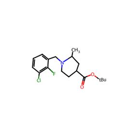 CC1CC(C(=O)OC(C)(C)C)CCN1Cc1cccc(Cl)c1F